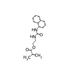 C=C(C)C(=O)OCCNC(=O)Nc1cccc2ccccc12